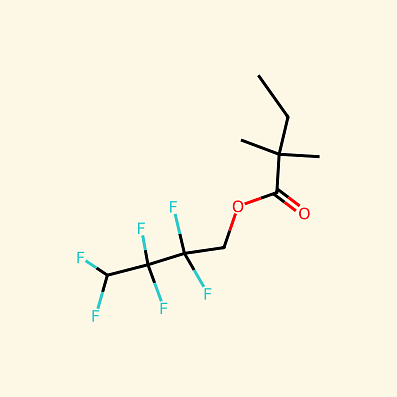 CCC(C)(C)C(=O)OCC(F)(F)C(F)(F)C(F)F